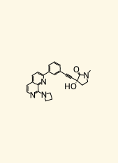 CN1CC[C@@](O)(C#Cc2cccc(-c3ccc4ccnc(N5CCC5)c4n3)c2)C1=O